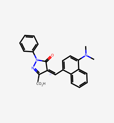 CN(C)c1ccc(/C=C2\C(=O)N(c3ccccc3)N=C2C(=O)O)c2ccccc12